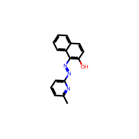 Cc1cccc(/N=N/c2c(O)ccc3ccccc23)n1